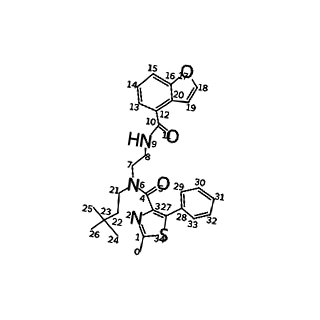 Cc1nc(C(=O)N(CCNC(=O)c2cccc3occc23)CCC(C)(C)C)c(-c2ccccc2)s1